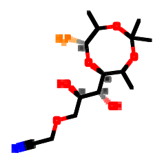 CC1OC(C)(C)OC(C)[C@@H]([C@H](O)[C@H](O)COCC#N)O[C@@H]1P